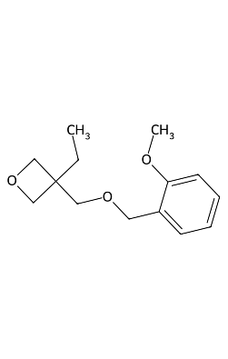 CCC1(COCc2ccccc2OC)COC1